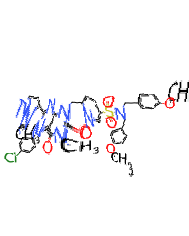 COc1ccc(CN(Cc2ccc(OC)cc2)S(=O)(=O)c2ccc(Cn3c(=O)n(C)c(=O)c4c3nc(-c3ccnn3C)n4-c3ccc(Cl)cc3)nc2)cc1